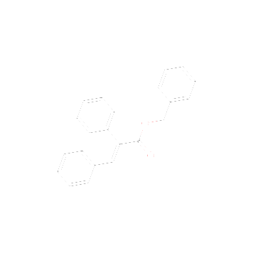 O=C(OCc1ccccc1)C(=Cc1ccccc1)c1ccccc1